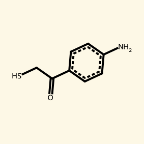 Nc1ccc(C(=O)CS)cc1